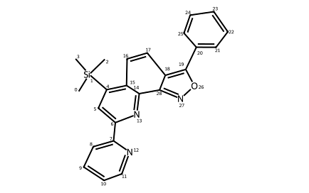 C[Si](C)(C)c1cc(-c2ccccn2)nc2c1ccc1c(-c3ccccc3)onc12